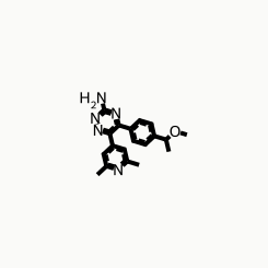 COC(C)c1ccc(-c2nc(N)nnc2-c2cc(C)nc(C)c2)cc1